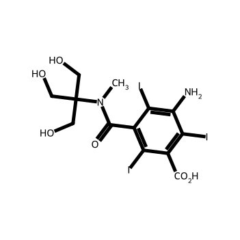 CN(C(=O)c1c(I)c(N)c(I)c(C(=O)O)c1I)C(CO)(CO)CO